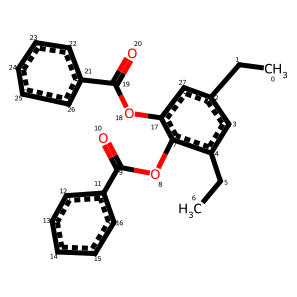 CCc1cc(CC)c(OC(=O)c2ccccc2)c(OC(=O)c2ccccc2)c1